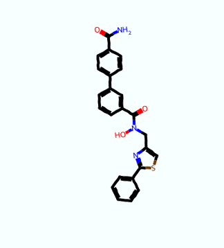 NC(=O)c1ccc(-c2cccc(C(=O)N(O)Cc3csc(-c4ccccc4)n3)c2)cc1